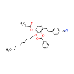 C=CC(=O)Oc1ccc(CCc2ccc(C#N)cc2)c(OC(=O)c2ccccc2)c1OCCCCCCCCC